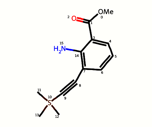 COC(=O)c1cccc(C#CS(C)(C)C)c1N